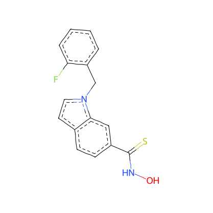 ONC(=S)c1ccc2ccn(Cc3ccccc3F)c2c1